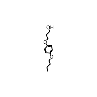 CCCCOc1ccc(OCCCO)cc1